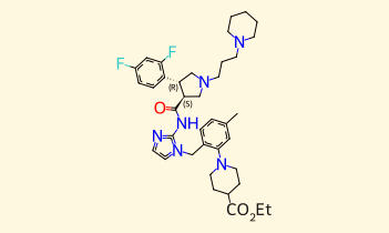 CCOC(=O)C1CCN(c2cc(C)ccc2Cn2ccnc2NC(=O)[C@@H]2CN(CCCN3CCCCC3)C[C@H]2c2ccc(F)cc2F)CC1